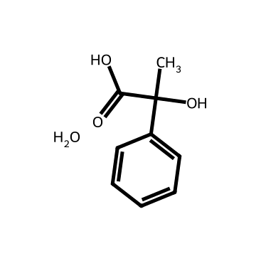 CC(O)(C(=O)O)c1ccccc1.O